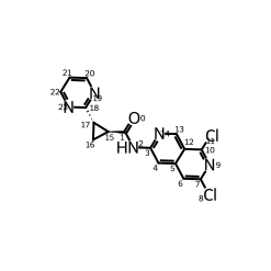 O=C(Nc1cc2cc(Cl)nc(Cl)c2cn1)[C@H]1C[C@@H]1c1ncccn1